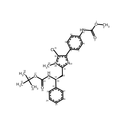 COC(=O)Nc1ccc(-c2nc(C[C@H](NC(=O)OC(C)(C)C)c3ccccc3)n(C)c2Cl)cc1